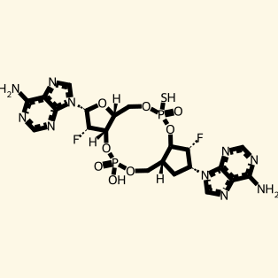 Nc1ncnc2c1ncn2[C@@H]1C[C@@H]2COP(=O)(O)O[C@@H]3[C@H](F)[C@H](n4cnc5c(N)ncnc54)O[C@@H]3COP(=O)(S)OC2[C@@H]1F